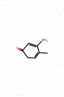 CC1=CCC(=O)C=C1[N+](=O)[O-]